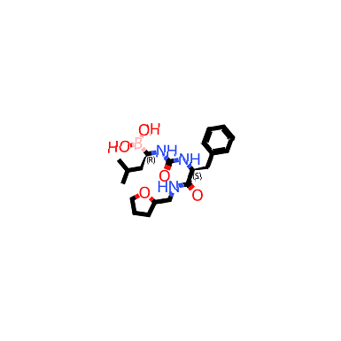 CC(C)C[C@H](NC(=O)N[C@@H](Cc1ccccc1)C(=O)NCC1CCCO1)B(O)O